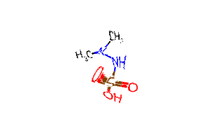 CN(C)NS(=O)(=O)O